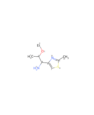 CCOC(C)C(N)c1csc(C)n1